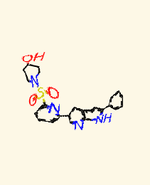 O=S(=O)(c1cccc(-c2cnc3[nH]c(-c4ccccc4)cc3c2)n1)N1CCC(O)CC1